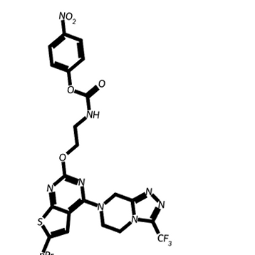 CCCc1cc2c(N3CCn4c(nnc4C(F)(F)F)C3)nc(OCCNC(=O)Oc3ccc([N+](=O)[O-])cc3)nc2s1